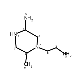 CC1CNC(N)CN1CCN